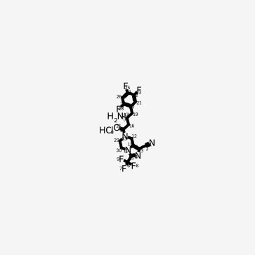 Cl.N#Cc1nc(C(F)(F)F)n2c1CN(C(=O)C[C@H](N)Cc1cc(F)c(F)cc1F)CC2